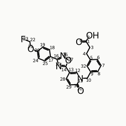 O=C(O)CCc1cccc(Cn2cc(-c3nc(-c4ccc(OCF)cc4)no3)ccc2=O)c1